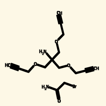 C#CCOCC(N)(COCC#C)COCC#C.NC(=O)CBr